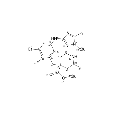 CCc1cc(Nc2cc(C)n(C(C)(C)C)n2)nc(CC2(C(=O)OC(C)(C)C)CCNC(C)C2)c1F